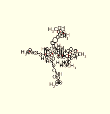 C=CS(=O)(=O)CCOC(=O)NCCOCCOCCNC(=O)C(C)CC(CC(CC(CC(CC(C)C(=O)O)c1ccc2c(c1)CCc1ccc(C(CC(C)C(=O)O)CC(C)C(=O)O)cc1CC2)C(=O)O)C(=O)NCCC(=O)N/N=C(\CO)C1(O)Cc2c(O)c3c(c(O)c2C(OC2CC(N)C(O)C(C)O2)C1)C(=O)c1c(OC)cccc1C3=O)C(=O)NCCOCCOCCNC(C)=O